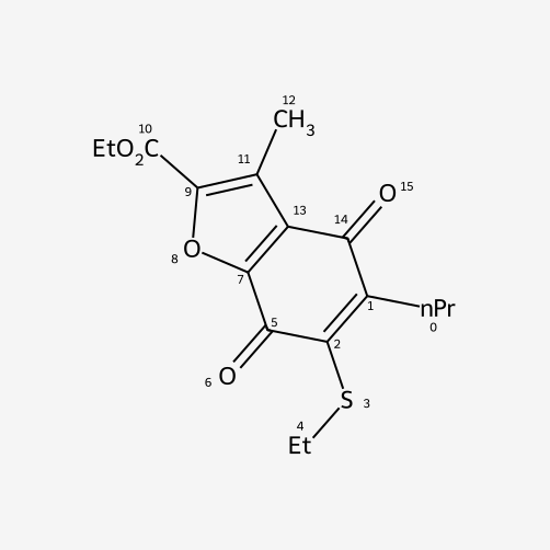 CCCC1=C(SCC)C(=O)c2oc(C(=O)OCC)c(C)c2C1=O